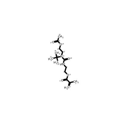 C=C(C)C(=O)OCCNC(=O)N(CCOC(C)=O)C(C)(C)C